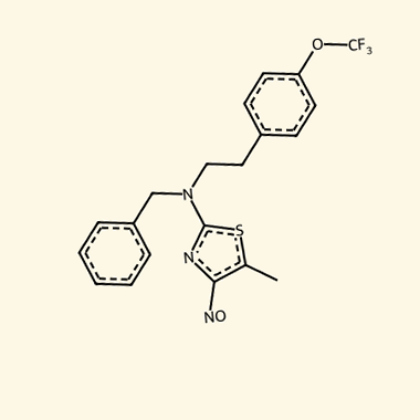 Cc1sc(N(CCc2ccc(OC(F)(F)F)cc2)Cc2ccccc2)nc1N=O